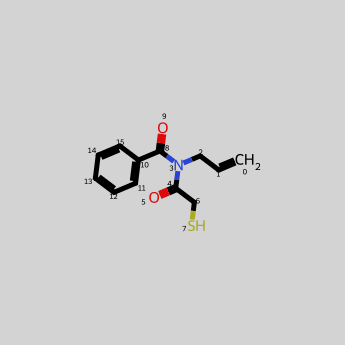 C=CCN(C(=O)CS)C(=O)c1ccccc1